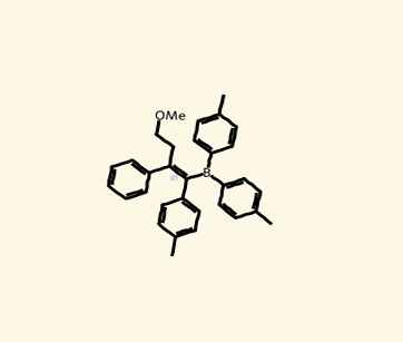 COCC/C(=C(\B(c1ccc(C)cc1)c1ccc(C)cc1)c1ccc(C)cc1)c1ccccc1